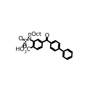 CCCCCCCCN(c1cc(C(=O)c2ccc(-c3ccccc3)cc2)ccc1C(=O)O)[SH](=O)=O